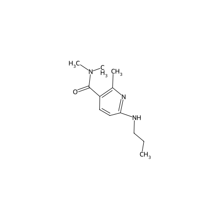 CCCNc1ccc(C(=O)N(C)C)c(C)n1